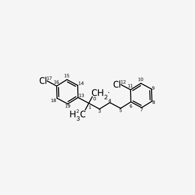 [CH2]C(C)(CCCc1ccccc1Cl)c1ccc(Cl)cc1